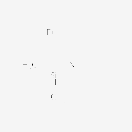 CCC1CCCCN1[SiH](C)C